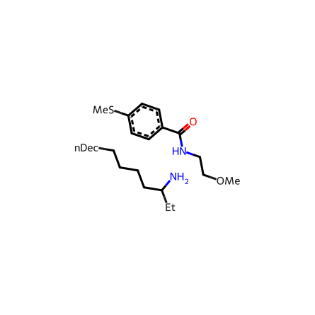 CCCCCCCCCCCCCCC(N)CC.COCCNC(=O)c1ccc(SC)cc1